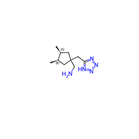 C[C@@H]1CC(CN)(Cc2nnn[nH]2)C[C@@H]1C